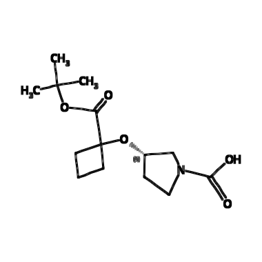 CC(C)(C)OC(=O)C1(O[C@H]2CCN(C(=O)O)C2)CCC1